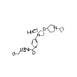 Cl.O=C(NCCCCl)c1ccc(N2CCC(OC3CCN(C4CCC4)CC3)CC2)cc1